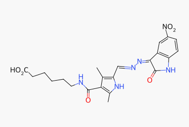 Cc1[nH]c(C=NN=C2C(=O)Nc3ccc([N+](=O)[O-])cc32)c(C)c1C(=O)NCCCCCC(=O)O